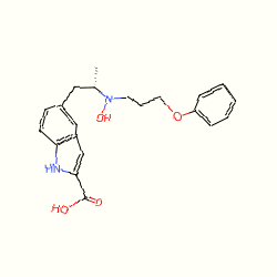 C[C@@H](Cc1ccc2[nH]c(C(=O)O)cc2c1)N(O)CCCOc1ccccc1